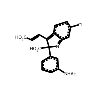 CC(=O)Nc1cccc(C2(C(=O)O)N=c3cc(Cl)ccc3=C2C=CC(=O)O)c1